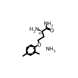 Cc1ccc(OCC[C@@H](N)C(N)=O)c(C)c1.N